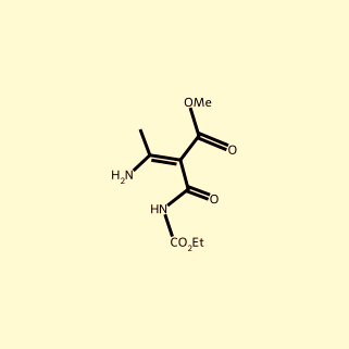 CCOC(=O)NC(=O)C(C(=O)OC)=C(C)N